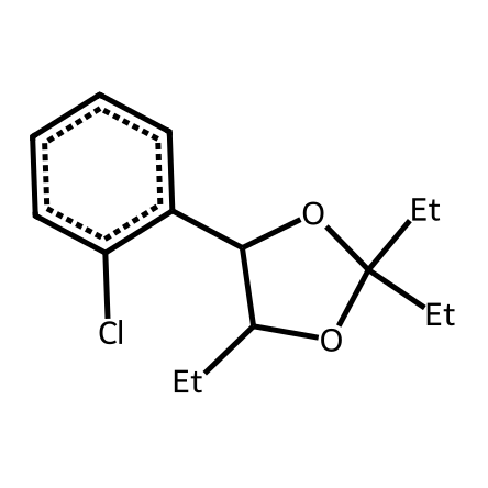 [CH2]CC1OC(CC)(CC)OC1c1ccccc1Cl